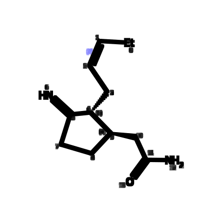 CC/C=C\C[C@H]1C(=N)CC[C@@H]1CC(N)=O